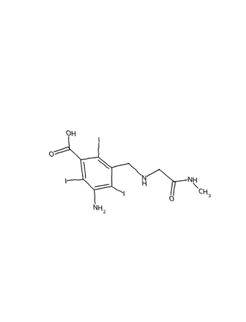 CNC(=O)CNCc1c(I)c(N)c(I)c(C(=O)O)c1I